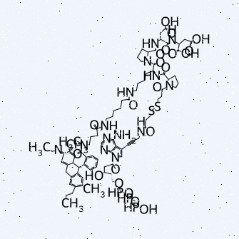 CCCc1cc2c(cc1C)C(c1ccccc1C(=O)N(C)CCCC(=O)NCCCCCC(=O)NCCCCC(NC(=O)C1CCCN1C(=O)CCSSCCC(=O)NCC#Cc1cn([C@H]3CC(O)[C@@H](COPOPOPO)O3)c3ncnc(N)c13)C(=O)N1CCCC1C(=O)NC(CC(=O)O)C(=O)NC(CC(=O)O)C(=O)O)C1C=C(C)/C(=N/CC)C=C1C2